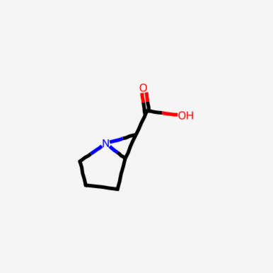 O=C(O)C1C2CCCN21